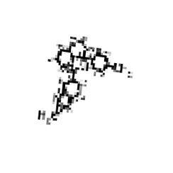 Cc1ccc([C@@]2(NC(=O)c3ccc4cn(C)nc4c3)CCOc3cccnc32)cc1